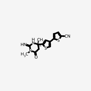 CN1C(=N)N[C@](C)(c2cc(-c3ccc(C#N)s3)cs2)CC1=O